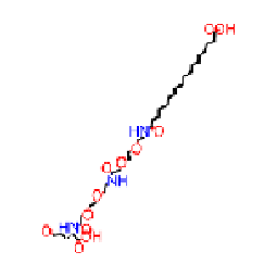 O=CCC[C@H](NC(=O)COCCOCCNC(=O)COCCOCCNC(=O)CCCCCCCCCCCCCCCCC(=O)O)C(=O)O